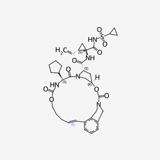 C=C[C@@H]1C[C@]1(NC(=O)[C@@H]1C[C@@H]2CN1C(=O)[C@H](C1CCCC1)NC(=O)OCCC/C=C/c1cccc3c1CN(C3)C(=O)O2)C(=O)NS(=O)(=O)C1CC1